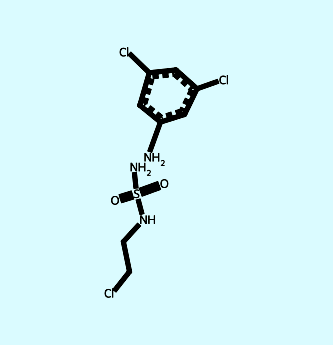 NS(=O)(=O)NCCCl.Nc1cc(Cl)cc(Cl)c1